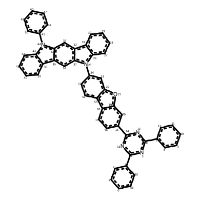 c1ccc(-c2nc(-c3ccccc3)nc(-c3ccc4c(c3)oc3cc(-n5c6ccccc6c6cc7c(cc65)c5ccccc5n7-c5ccccc5)ccc34)n2)cc1